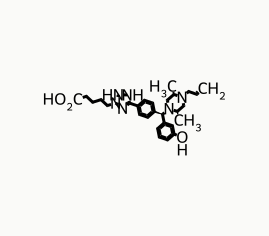 C=CCN1C[C@H](C)N([C@H](c2ccc(C3=NN(CCCCC(=O)O)NN3)cc2)c2cccc(O)c2)C[C@H]1C